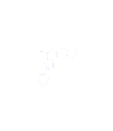 O=C1c2cc(CN3CCOCC3)cc(C(F)(F)F)c2CN1c1ccccc1